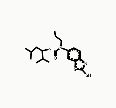 CCCN(C(=O)NC(CC(C)C)C(C)C)c1ccc2nc(S)sc2c1